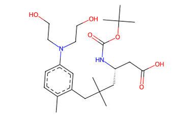 Cc1ccc(N(CCO)CCO)cc1CC(C)(C)C[C@@H](CC(=O)O)NC(=O)OC(C)(C)C